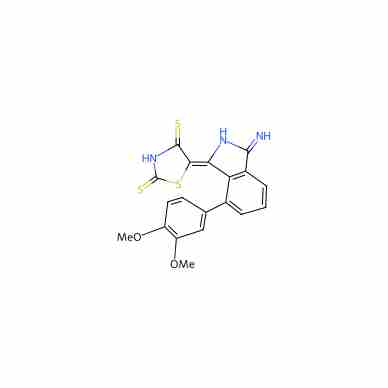 COc1ccc(-c2cccc3c2/C(=C2\SC(=S)NC2=S)NC3=N)cc1OC